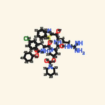 N=C(N)NCCC[C@H](NC(=O)[C@@H]1C[C@@H](OC(=O)N2CCCCC2)CN1C(=O)[C@@H](Cc1cccc(Cl)c1)NC(=O)OC1CCCCC1)C(=O)c1nc2ccccc2s1